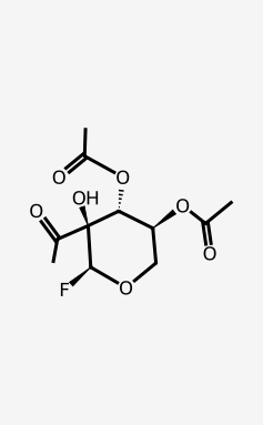 CC(=O)O[C@H]1CO[C@@H](F)[C@](O)(C(C)=O)[C@@H]1OC(C)=O